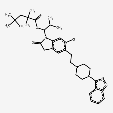 CC(C)C(OC(=O)C(C)(C)CC(C)(C)C)N1C(=O)Cc2cc(CCN3CCN(c4nsc5ccccc45)CC3)c(Cl)cc21